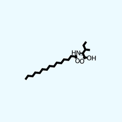 CCCCCCCCCCCCCCC(=O)N[C@H](C(=O)O)C(C)CC